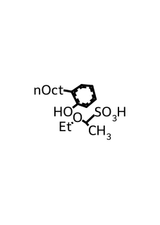 CCCCCCCCc1ccccc1O.CCOC(C)S(=O)(=O)O